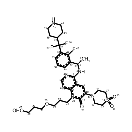 C[C@@H](Nc1ncnc2c1cc(N1CCS(=O)(=O)CC1)c(=O)n2CCCOCCCC=O)c1cccc(C(F)(F)C2CCNCC2)c1F